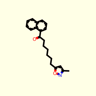 Cc1cc(CCCCCCC(=O)c2cccc3ccccc23)on1